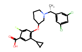 C[C@H](c1cc(Cl)cc(Cl)c1)N1CCCC(Oc2cc(F)c(C(=O)O)cc2C2CC2)C1